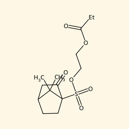 CCC(=O)OCCOS(=O)(=O)C12CCC(CC1=O)C2(C)C